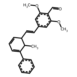 COc1cc(/C=C/C2C=CC=C(c3ccccc3)C2C)cc(OC)c1C=O